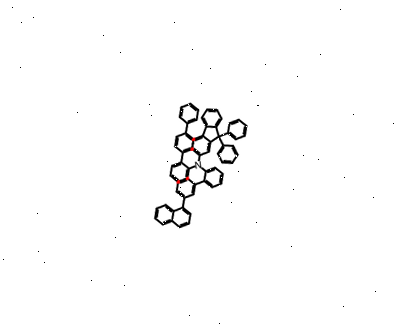 c1ccc(-c2ccc(-c3ccccc3N(c3ccc4c(c3)C(c3ccccc3)(c3ccccc3)c3ccccc3-4)c3ccccc3-c3cccc(-c4cccc5ccccc45)c3)cc2)cc1